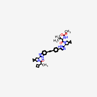 COC(=O)N[C@H](C(=O)N1CC2(CC2)C[C@H]1c1ncc(-c2ccc(C#Cc3ccc4nc([C@@H]5CC6(CC6)CN5C(=O)[C@@H](C)C5CCC5)[nH]c4c3)cc2)[nH]1)C(C)C